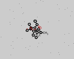 Cc1cc(C)c(-c2cccc3c2-c2cc4c(cc2C3(c2cc(-c3cccc(-c5ccccc5)c3)cc(-c3cccc(-c5ccccc5)c3)c2)c2cc(-c3cccc(-c5ccccc5)c3)cc(-c3cccc(-c5ccccc5)c3)c2)OCO4)c(C)c1